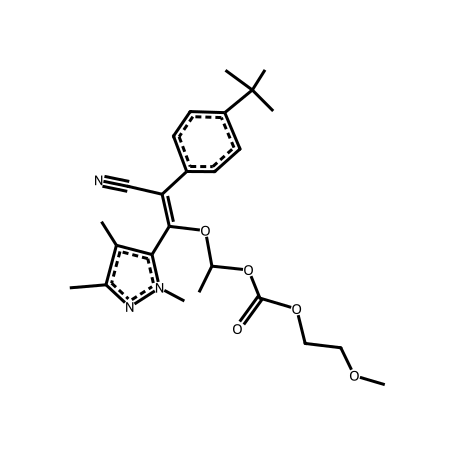 COCCOC(=O)OC(C)O/C(=C(/C#N)c1ccc(C(C)(C)C)cc1)c1c(C)c(C)nn1C